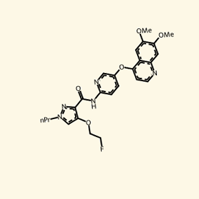 CCCn1cc(OCCF)c(C(=O)Nc2ccc(Oc3ccnc4cc(OC)c(OC)cc34)cn2)n1